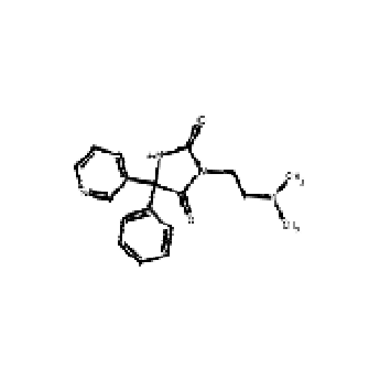 CN(C)CCN1C(=O)NC(c2ccccc2)(c2cccnc2)C1=O